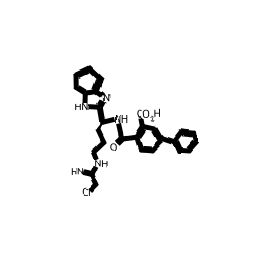 N=C(CCl)NCCC[C@H](NC(=O)c1ccc(-c2ccccc2)cc1C(=O)O)c1nc2ccccc2[nH]1